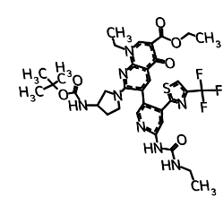 CCNC(=O)Nc1cc(-c2nc(C(F)(F)F)cs2)c(-c2cc3c(=O)c(C(=O)OCC)cn(CC)c3nc2N2CCC(NC(=O)OC(C)(C)C)C2)cn1